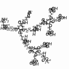 CC(C)(C)OC(=O)NCCCOc1c(OCCCS(=O)(=O)O)cc(C(=O)NCCCN2C=C(CCCCOc3c(OCCCCC4=CN(CCCNC(=O)c5cc(OCCCS(=O)(=O)O)c(OCCCS(=O)(=O)O)c(OCCCS(=O)(=O)O)c5)NN4)cc(C(=O)NCCCN=[N+]=[N-])cc3OCCCCc3cn(CCCN)[nH]3)NN2)cc1OCCCS(=O)(=O)O